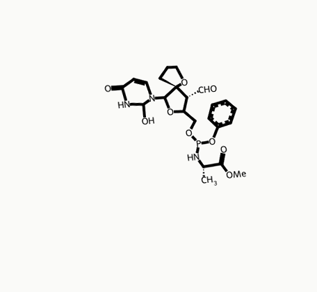 COC(=O)[C@H](C)NP(OCC1OC(N2C=CC(=O)NC2O)[C@@]2(CCCO2)[C@@H]1C=O)Oc1ccccc1